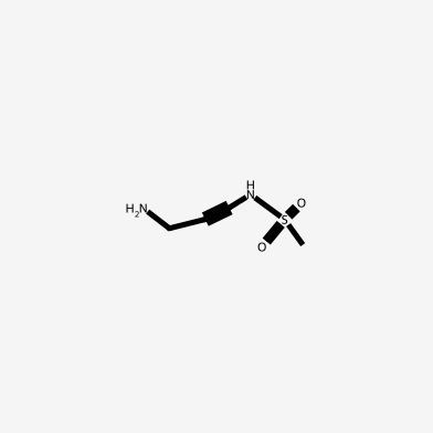 CS(=O)(=O)NC#CCN